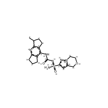 CC1CCc2c1nc1c(c2NC(=O)N=S(N)(=O)c2cc3n(n2)CCOC3)CCC1